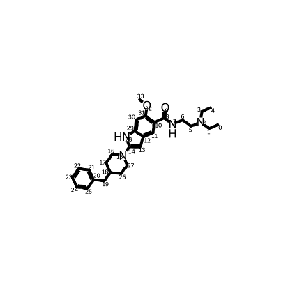 CCN(CC)CCNC(=O)c1cc2cc(N3CCC(Cc4ccccc4)CC3)[nH]c2cc1OC